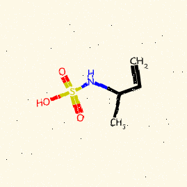 C=CC(C)NS(=O)(=O)O